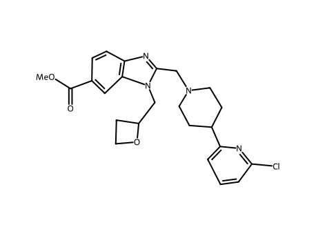 COC(=O)c1ccc2nc(CN3CCC(c4cccc(Cl)n4)CC3)n(CC3CCO3)c2c1